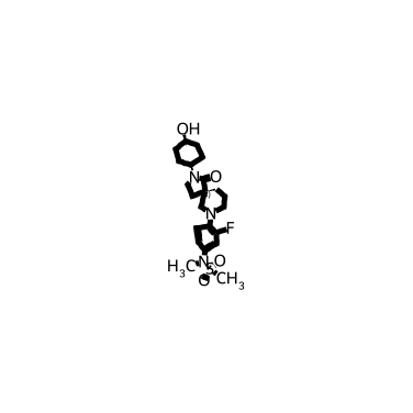 CN(c1ccc(N2CCC[C@@]3(CCN([C@H]4CC[C@H](O)CC4)C3=O)C2)c(F)c1)S(C)(=O)=O